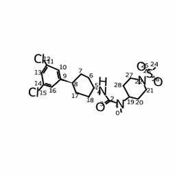 CN(C(=O)N[C@H]1CC[C@H](c2cc(Cl)cc(Cl)c2)CC1)C1CCN(S(C)(=O)=O)CC1